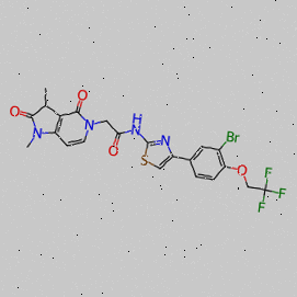 CC1C(=O)N(C)c2ccn(CC(=O)Nc3nc(-c4ccc(OCC(F)(F)F)c(Br)c4)cs3)c(=O)c21